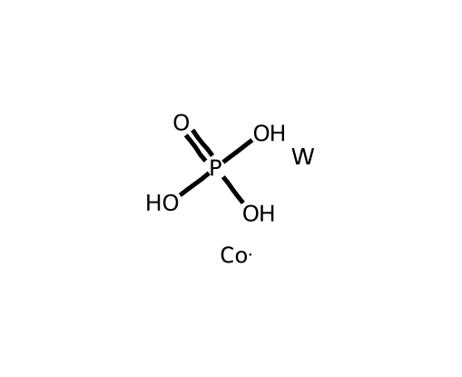 O=P(O)(O)O.[Co].[W]